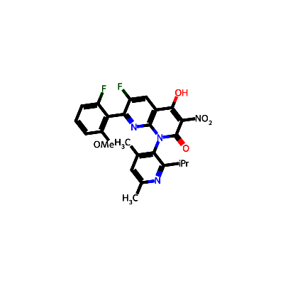 COc1cccc(F)c1-c1nc2c(cc1F)c(O)c([N+](=O)[O-])c(=O)n2-c1c(C)cc(C)nc1C(C)C